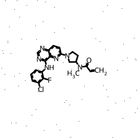 C=CC(=O)N(C)C1CCN(c2ccc3ncnc(Nc4cccc(Cl)c4F)c3n2)C1